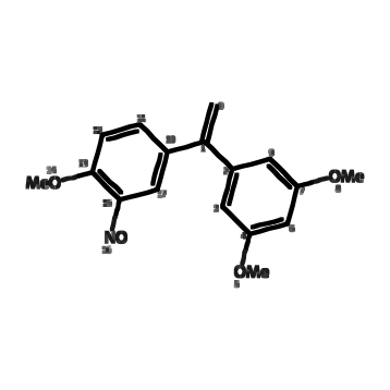 C=C(c1cc(OC)cc(OC)c1)c1ccc(OC)c(N=O)c1